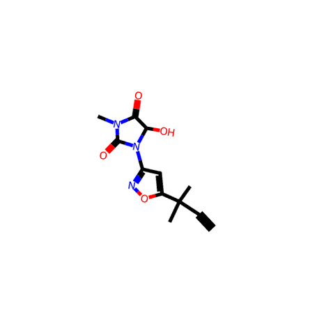 C#CC(C)(C)c1cc(N2C(=O)N(C)C(=O)C2O)no1